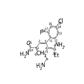 C=C(/C=C(\C(CCN)=C(/N)CC)c1ccc(Cl)cc1F)C(N)=O